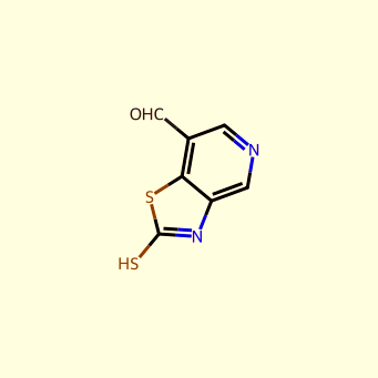 O=Cc1cncc2nc(S)sc12